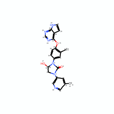 CCc1cc(N2C(=O)N(c3cncc(C(F)(F)F)c3)C[C@H]2O)ccc1Oc1ncnc2[nH]ccc12